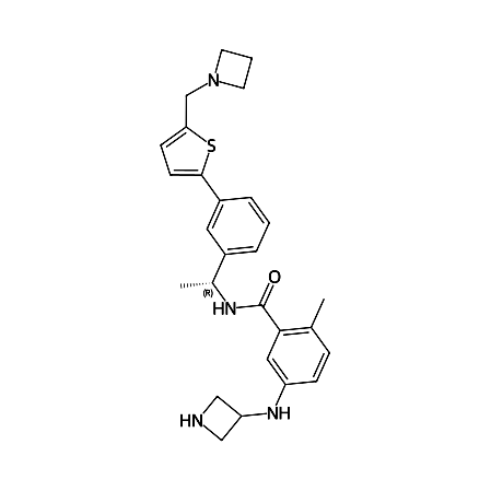 Cc1ccc(NC2CNC2)cc1C(=O)N[C@H](C)c1cccc(-c2ccc(CN3CCC3)s2)c1